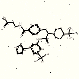 CC(C)(C)C1CCC(C(Cc2ccc(C(=O)NCCC(=O)O)cc2)C(=O)Nc2cc(-c3ccsc3)cc(C(F)(F)F)c2)CC1